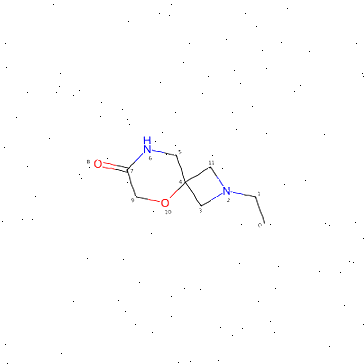 CCN1CC2(CNC(=O)CO2)C1